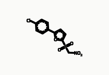 O=[N+]([O-])CS(=O)(=O)c1ccc(-c2ccc(Cl)cc2)o1